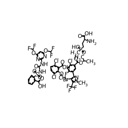 CC(C)OC(=O)c1cc(-c2nn(C)c(C(F)(F)F)c2Br)c(F)cc1Cl.COc1c(Cl)ccc(Cl)c1C(=O)O.CP(=O)(O)CCC(N)C(=O)O.O=C(Nc1nc(OC(F)F)cc(OC(F)F)n1)NS(=O)(=O)c1ccccc1C(=O)O